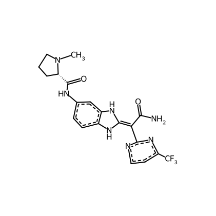 CN1CCC[C@H]1C(=O)Nc1ccc2c(c1)NC(=C(C(N)=O)c1nccc(C(F)(F)F)n1)N2